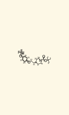 CC(C)(C)OC(=O)N1CCC(CCOc2ccc(OC(F)(F)F)cc2)CC1